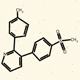 Cc1ccc(-c2ncccc2-c2ccc(S(C)(=O)=O)cc2)cc1